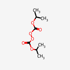 CC(C)OC(=O)OOC(=O)OC(C)C